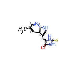 Cc1cnc2[nH]cc(C=C3NC(=S)NC3=O)c2c1